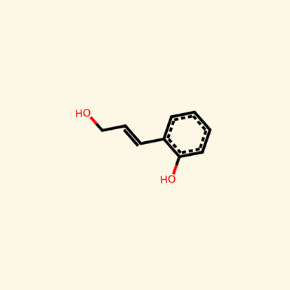 OCC=Cc1ccccc1O